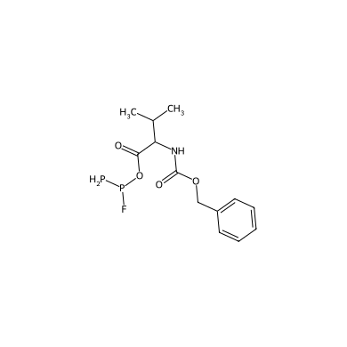 CC(C)C(NC(=O)OCc1ccccc1)C(=O)OP(F)P